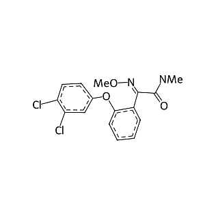 CNC(=O)/C(=N/OC)c1ccccc1Oc1ccc(Cl)c(Cl)c1